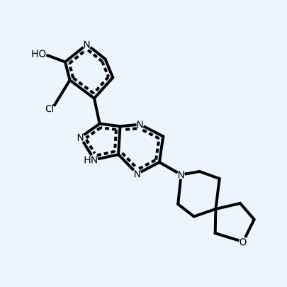 Oc1nccc(-c2n[nH]c3nc(N4CCC5(CCOC5)CC4)cnc23)c1Cl